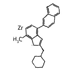 Cc1ccc(-c2ccc3ccccc3c2)c2c1[CH]C(CC1CCCCC1)=C2.[Zr]